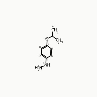 CC(C)Sc1ccc(NN)cc1